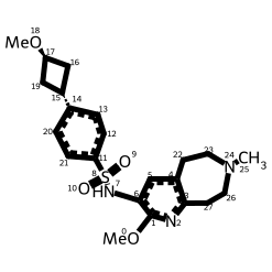 COc1nc2c(cc1NS(=O)(=O)c1ccc([C@H]3C[C@H](OC)C3)cc1)CCN(C)CC2